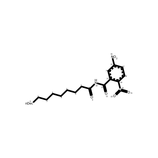 CCCCCCCCCCCCCCCCCC(=O)NC(=O)c1cc([N+](=O)[O-])ccc1I(=O)=O